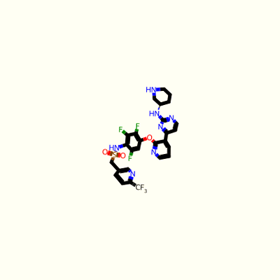 O=S(=O)(Cc1ccc(C(F)(F)F)nc1)Nc1c(F)cc(Oc2ncccc2-c2ccnc(N[C@H]3CCCNC3)n2)c(F)c1F